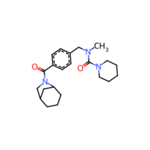 CN(Cc1ccc(C(=O)N2CC3CCCC2C3)cc1)C(=O)N1CCCCC1